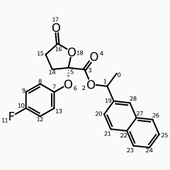 CC(OC(=O)[C@@]1(Oc2ccc(F)cc2)CCC(=O)O1)c1ccc2ccccc2c1